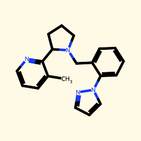 Cc1cccnc1C1CCCN1Cc1ccccc1-n1cccn1